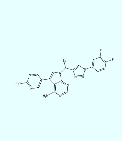 CCC(c1cn(-c2ccc(F)c(F)c2)nn1)n1cc(-c2cnc(C(F)(F)F)nc2)c2c(N)ncnc21